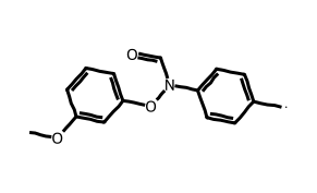 [CH2]c1ccc(N(C=O)Oc2cccc(OC)c2)cc1